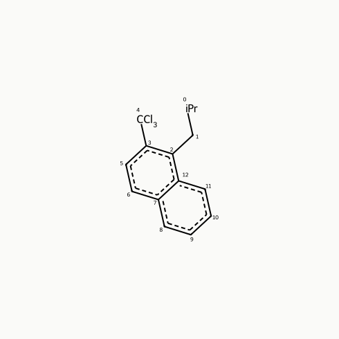 CC(C)Cc1c(C(Cl)(Cl)Cl)ccc2ccccc12